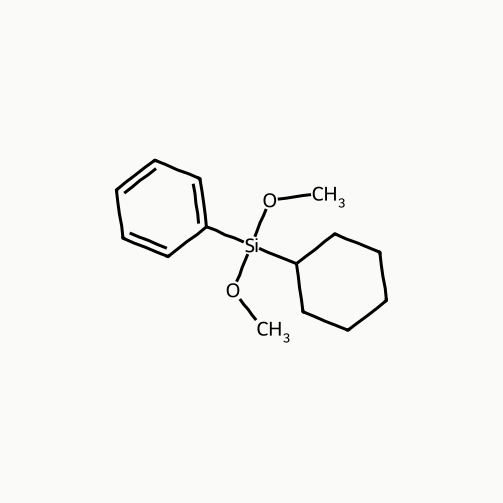 CO[Si](OC)(c1ccccc1)C1CCCCC1